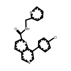 O=C(NCc1ccccn1)c1ccc2cncc(-c3ccc(Cl)cc3)c2n1